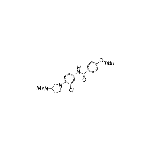 CCCCOc1ccc(C(=O)Nc2ccc(N3CCC(NC)C3)c(Cl)c2)cc1